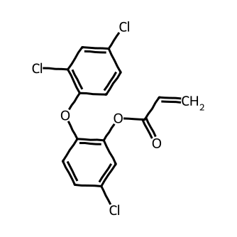 C=CC(=O)Oc1cc(Cl)ccc1Oc1ccc(Cl)cc1Cl